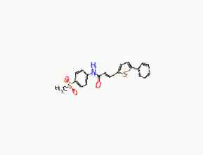 CS(=O)(=O)c1ccc(NC(=O)/C=C/c2ccc(-c3ccccc3)s2)cc1